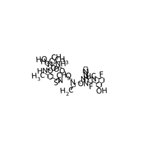 C#Cc1c(F)ccc2cc(O)cc(-c3ncc4c(N5CC6CCC(C5)N6)nc(OC[C@@H]5CC(=C)CN5CCOCCOCC(=O)N[C@H](C(=O)N5C[C@H](O)C[C@H]5C(=O)N[C@@H](C)c5ccc(-c6scnc6C)cc5)C(C)(C)C)nc4c3F)c12